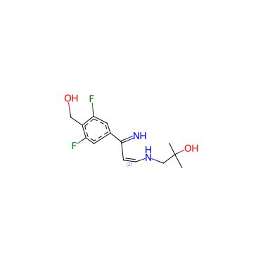 CC(C)(O)CN/C=C\C(=N)c1cc(F)c(CO)c(F)c1